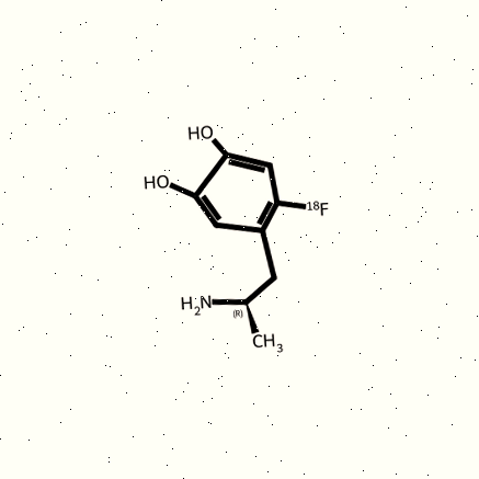 C[C@@H](N)Cc1cc(O)c(O)cc1[18F]